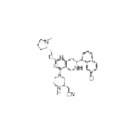 CN1CCC[C@H]1COc1nc2c(c(N3CCNC(CC#N)C3)n1)CNC(c1cccc3ccc(Cl)cc13)C2